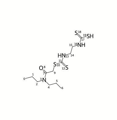 CCCN(CCC)C(=O)CSC(=S)NCCNC(=S)S